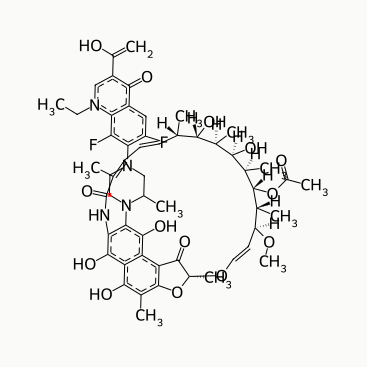 C=C(O)c1cn(CC)c2c(F)c(N3CCN(c4c5c(O)c6c(O)c(C)c7c(c6c4O)C(=O)[C@@](C)(O/C=C/[C@H](OC)[C@@H](C)[C@@H](OC(C)=O)[C@H](C)[C@H](O)[C@H](C)[C@@H](O)[C@@H](C)/C=C/C=C(/C)C(=O)N5)O7)C(C)C3)c(F)cc2c1=O